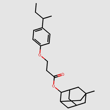 CCC(C)c1ccc(OCCC(=O)OC2C3CC4CC2CC(C)(C4)C3)cc1